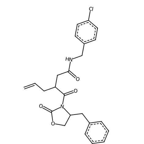 C=CCC(CC(=O)NCc1ccc(Cl)cc1)C(=O)N1C(=O)OCC1Cc1ccccc1